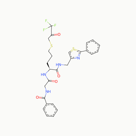 O=C(CNC(=O)c1ccccc1)N[C@@H](CCCSCC(=O)C(F)(F)F)C(=O)NCc1csc(-c2ccccc2)n1